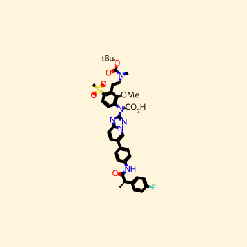 COc1c(N(C(=O)O)c2nc3ccc(-c4ccc(NC(=O)[C@H](C)c5ccc(F)cc5)cc4)cn3n2)ccc(S(C)(=O)=O)c1CCN(C)C(=O)OC(C)(C)C